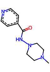 CN1CCN(NC(=O)c2ccncc2)CC1